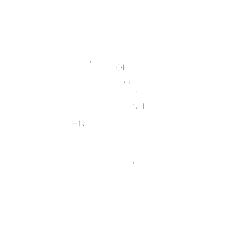 O=C1NCc2ccccc2-c2cc(c(F)cc2Cl)NS(=O)(=O)c2cc1cc(Cl)c2O